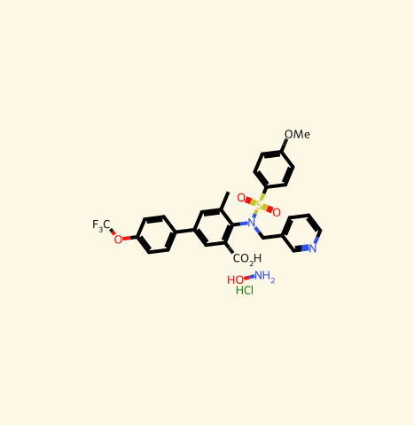 COc1ccc(S(=O)(=O)N(Cc2cccnc2)c2c(C)cc(-c3ccc(OC(F)(F)F)cc3)cc2C(=O)O)cc1.Cl.NO